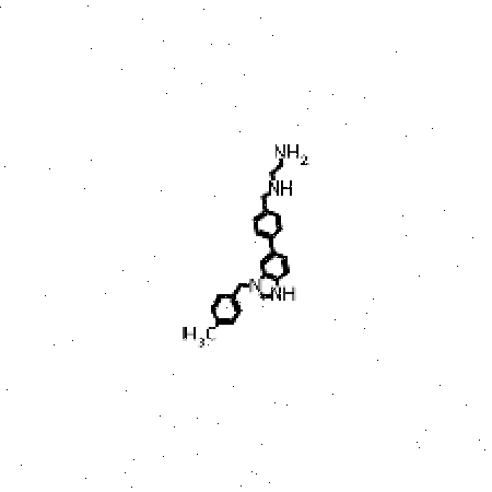 Cc1ccc(CN2CNc3ccc(-c4ccc(CNCCN)cc4)cc32)cc1